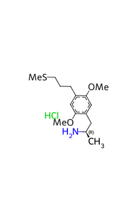 COc1cc(C[C@@H](C)N)c(OC)cc1CCCSC.Cl